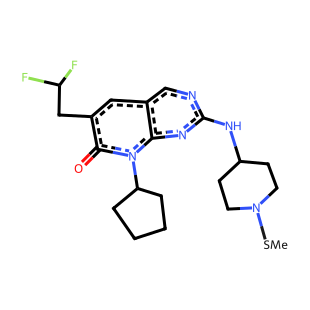 CSN1CCC(Nc2ncc3cc(CC(F)F)c(=O)n(C4CCCC4)c3n2)CC1